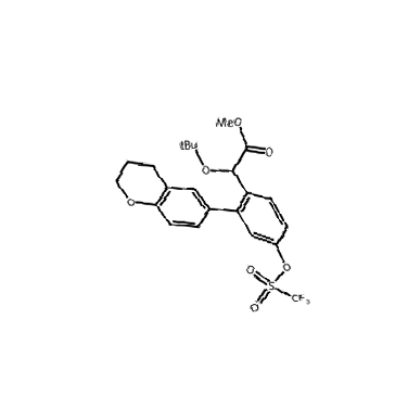 COC(=O)C(OC(C)(C)C)c1ccc(OS(=O)(=O)C(F)(F)F)cc1-c1ccc2c(c1)CCCO2